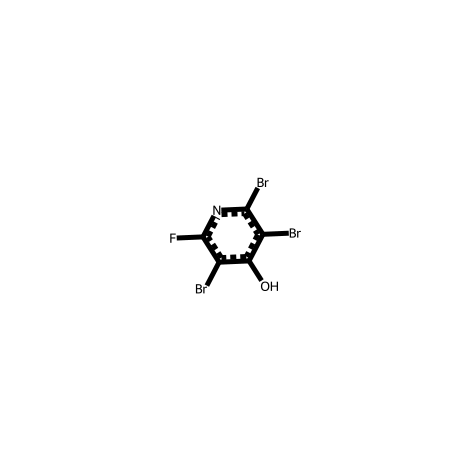 Oc1c(Br)c(F)nc(Br)c1Br